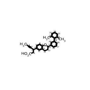 CC#CC(CC(=O)O)c1ccc2c(c1)CCC(c1cccc(-c3c(C)cccc3C)c1)O2